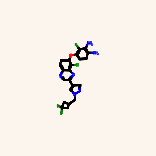 Nc1ccc(Oc2ccc3ncc(-c4cnn(CC5CC(F)(F)C5)c4)nc3c2Cl)c(F)c1N